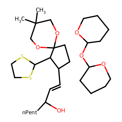 C1CCC(OC2CCCCO2)OC1.CCCCCC(O)C=CC1CCC2(OCC(C)(C)CO2)C1C1SCCS1